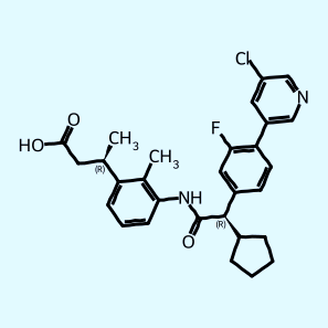 Cc1c(NC(=O)[C@@H](c2ccc(-c3cncc(Cl)c3)c(F)c2)C2CCCC2)cccc1[C@H](C)CC(=O)O